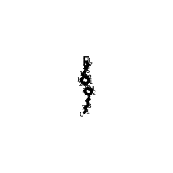 CCCCCC[C@H]1CC[C@H](C2CCC(CC/C=C/F)CC2)CC1